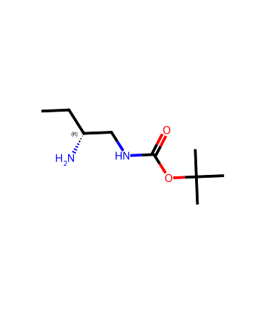 CC[C@@H](N)CNC(=O)OC(C)(C)C